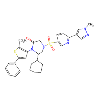 Cn1cc(-c2ccc(S(=O)(=O)N3CC(=O)N(c4cc(-c5ccccc5)sc4C(=O)O)C(C4CCCCC4)C3)cn2)cn1